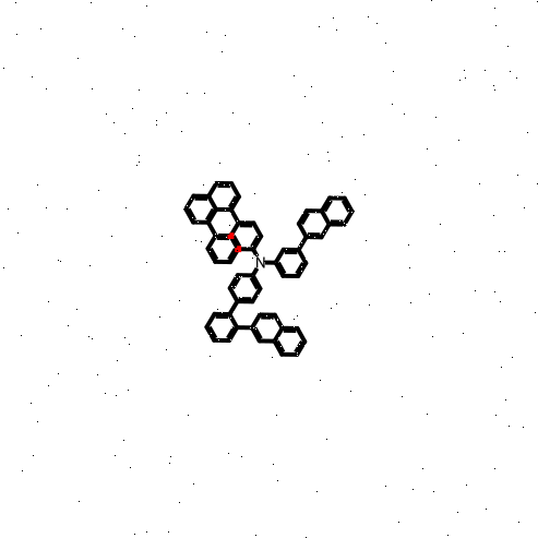 c1ccc(-c2cccc3cccc(-c4ccc(N(c5ccc(-c6ccccc6-c6ccc7ccccc7c6)cc5)c5cccc(-c6ccc7ccccc7c6)c5)cc4)c23)cc1